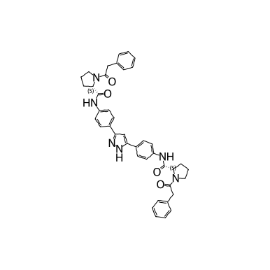 O=C(Nc1ccc(-c2cc(-c3ccc(NC(=O)[C@@H]4CCCN4C(=O)Cc4ccccc4)cc3)[nH]n2)cc1)[C@@H]1CCCN1C(=O)Cc1ccccc1